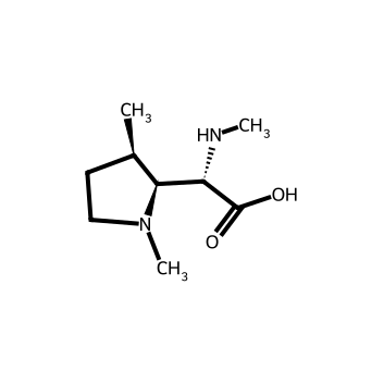 CN[C@H](C(=O)O)[C@@H]1[C@H](C)CCN1C